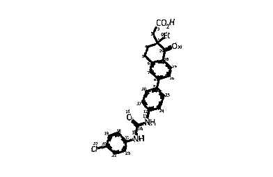 CCC1(CC(=O)O)CCc2cc(-c3ccc(NC(=O)Nc4ccc(Cl)cc4)cc3)ccc2C1=O